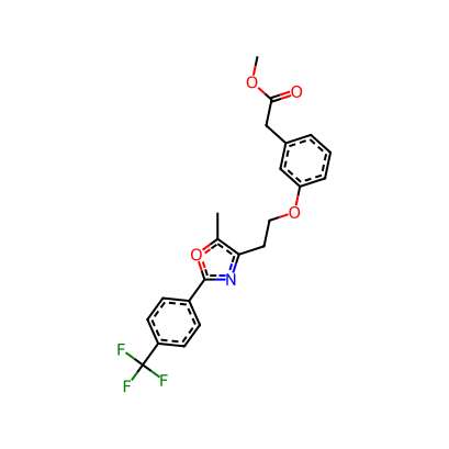 COC(=O)Cc1cccc(OCCc2nc(-c3ccc(C(F)(F)F)cc3)oc2C)c1